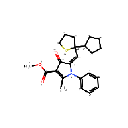 COC(=O)C1=C(C)N(c2ccccc2)/C(=C/C2(C3CCCC3)CCCS2)C1=O